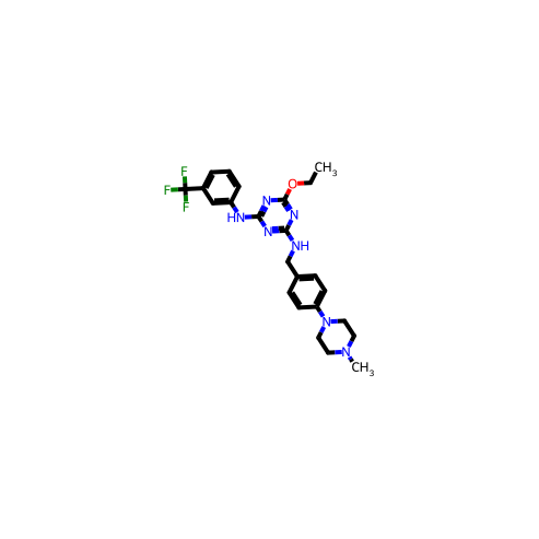 CCOc1nc(NCc2ccc(N3CCN(C)CC3)cc2)nc(Nc2cccc(C(F)(F)F)c2)n1